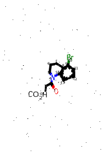 O=C(O)CC(=O)N1CCCc2c(Br)cccc21